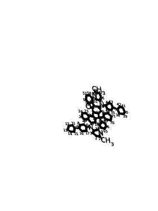 Cc1ccc(N(c2ccc(-c3ccccc3)cc2)c2cc3c(c4ccccc24)C2=C(C[C@H](N(c4ccc(-c5ccccc5)cc4)c4ccc(C)nc4)c4c2oc2ccccc42)C3(c2ccccc2)c2ccccc2)cn1